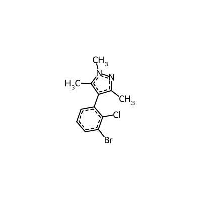 Cc1nn(C)c(C)c1-c1cccc(Br)c1Cl